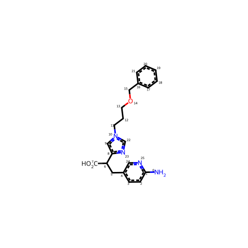 Nc1ccc(CC(C(=O)O)c2cn(CCCOCc3ccccc3)cn2)cn1